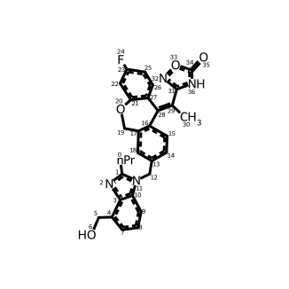 CCCc1nc2c(CO)cccc2n1Cc1ccc2c(c1)COc1cc(F)ccc1C2=C(C)c1noc(=O)[nH]1